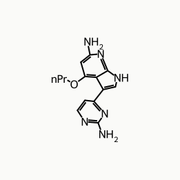 CCCOc1cc(N)nc2[nH]cc(-c3ccnc(N)n3)c12